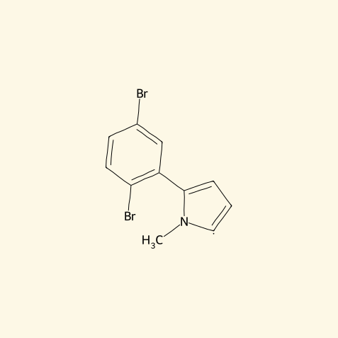 Cn1[c]ccc1-c1cc(Br)ccc1Br